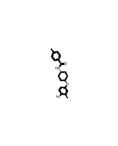 Cc1ccc(C(=O)N[C@H]2CC[C@H](Oc3ccc(C#N)c(C)c3)CC2)cc1